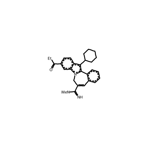 CCC(=O)c1ccc2c(C3CCCCC3)c3n(c2c1)CC(C(=N)NC)=Cc1ccccc1-3